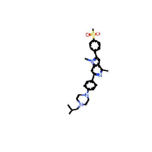 Cc1nc(-c2ccc(N3CCN(CC(C)C)CC3)cc2)cc2c1cc(-c1ccc(S(C)(=O)=O)cc1)n2C